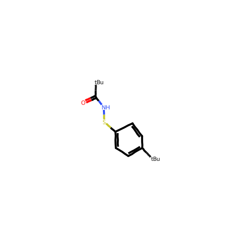 CC(C)(C)C(=O)NSc1ccc(C(C)(C)C)cc1